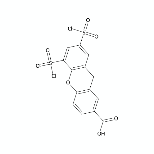 O=C(O)c1ccc2c(c1)Cc1cc(S(=O)(=O)Cl)cc(S(=O)(=O)Cl)c1O2